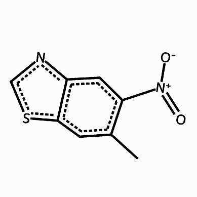 Cc1cc2scnc2cc1[N+](=O)[O-]